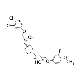 COc1ccc(OC[C@H](O)CNC2CCN(C[C@@H](O)COc3ccc(Cl)c(Cl)c3)CC2)cc1F